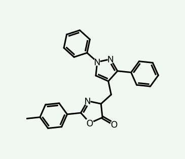 Cc1ccc(C2=NC(Cc3cn(-c4ccccc4)nc3-c3ccccc3)C(=O)O2)cc1